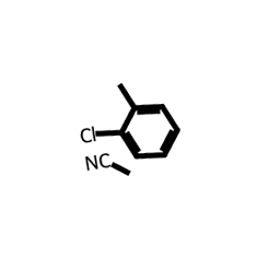 CC#N.Cc1ccccc1Cl